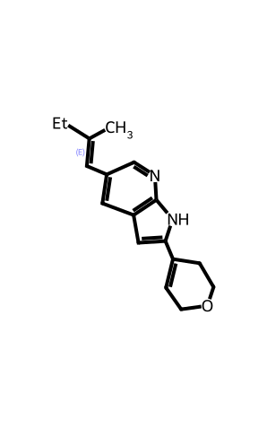 CC/C(C)=C/c1cnc2[nH]c(C3=CCOCC3)cc2c1